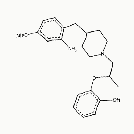 COc1ccc(CC2CCN(CC(C)Oc3ccccc3O)CC2)c(N)c1